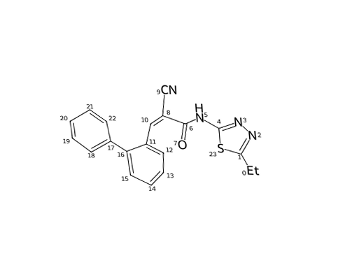 CCc1nnc(NC(=O)C(C#N)=Cc2ccccc2-c2ccccc2)s1